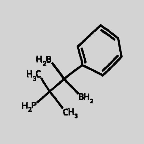 BC(B)(c1ccccc1)C(C)(C)P